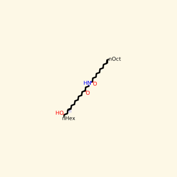 CCCCCCCCC=CCCCCCCCC(=O)NCCC(=O)CCCCCCC/C=C/CC(O)CCCCCC